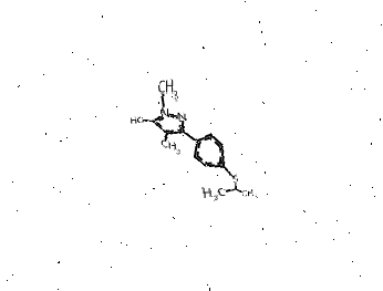 Cc1c(-c2ccc(SC(C)C)cc2)nn(C)c1O